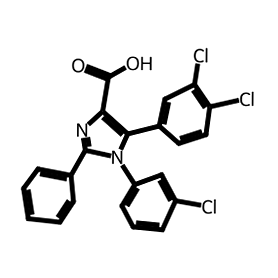 O=C(O)c1nc(-c2ccccc2)n(-c2cccc(Cl)c2)c1-c1ccc(Cl)c(Cl)c1